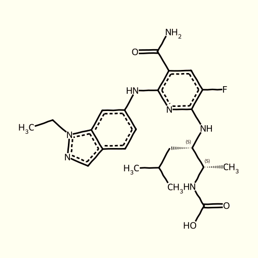 CCn1ncc2ccc(Nc3nc(N[C@@H](CC(C)C)[C@H](C)NC(=O)O)c(F)cc3C(N)=O)cc21